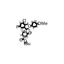 COc1ccc(OCc2c(Cl)cc(F)cc2C(C)N2CCN(C(=O)OC(C)(C)C)CC2=O)cc1